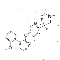 COc1ccccc1-c1cccnc1Oc1ccc(C(F)(F)CN(C)C(C)=O)nc1